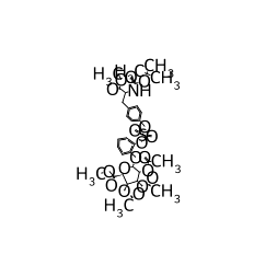 COC(=O)C(Cc1ccc(OS(=O)(=O)Oc2ccccc2O[C@@H]2O[C@H](C(=O)OC)[C@H](OC(C)=O)[C@H](OC(C)=O)[C@H]2OC(C)=O)cc1)NC(=O)OC(C)(C)C